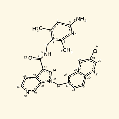 Cc1cc(N)nc(C)c1CNC(=O)c1cn(Cc2ccc3ncc(Cl)cc3c2)c2cnccc12